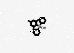 Cc1cc(C)c([Si](O)(c2ccccc2)c2ccccc2)c(C)c1